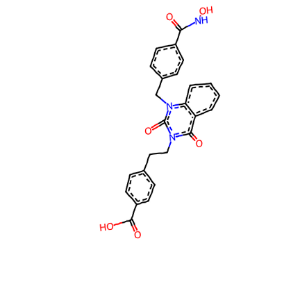 O=C(O)c1ccc(CCn2c(=O)c3ccccc3n(Cc3ccc(C(=O)NO)cc3)c2=O)cc1